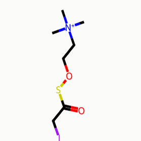 C[N+](C)(C)CCOSC(=O)CI